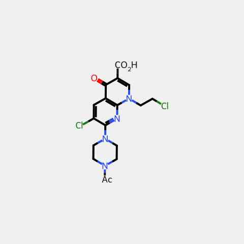 CC(=O)N1CCN(c2nc3c(cc2Cl)c(=O)c(C(=O)O)cn3CCCl)CC1